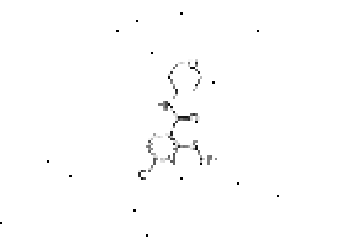 CCCSc1nc(Cl)ccc1C(=O)NC1CCOCC1